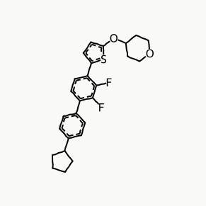 Fc1c(-c2ccc(C3CCCC3)cc2)ccc(-c2ccc(OC3CCOCC3)s2)c1F